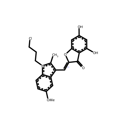 COc1ccc2c(c1)c(/C=C1\Oc3cc(O)cc(O)c3C1=O)c(C)n2CCCCl